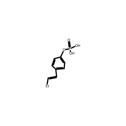 CCC=Cc1ccc(OP(=O)(O)O)cc1